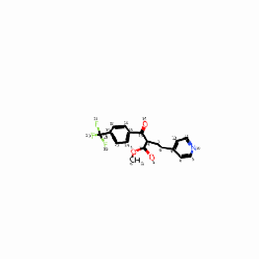 COC(=O)C(CCc1ccncc1)C(=O)c1ccc(C(F)(F)F)cc1